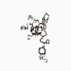 CC(C)N(C[C@@H](C(=O)N1C2CCC1CN(c1ncnc3c1[C@H](C)C[C@H]3OC(=O)c1ccc([N+](=O)[O-])cc1)C2)c1ccc(Cl)cc1)C(=O)OC(C)(C)C